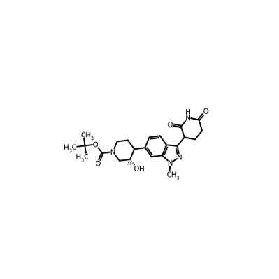 Cn1nc(C2CCC(=O)NC2=O)c2ccc(C3CCN(C(=O)OC(C)(C)C)C[C@H]3O)cc21